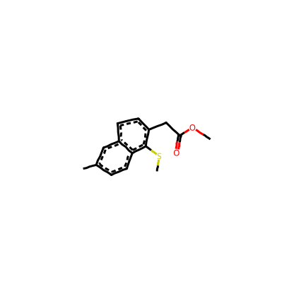 COC(=O)Cc1ccc2cc(C)ccc2c1SC